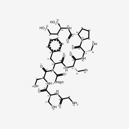 CCCCCCCC(=O)N(C(=O)[C@H](CO)NC(=O)[C@H](CO)NC(=O)CN)[C@@H](Cc1ccccc1)C(=O)N[C@@H](CC(C)C)C(=O)N[C@@H](CO)C(=O)N1CCC[C@H]1C(=O)N[C@@H](CCC(=O)O)C(=O)O